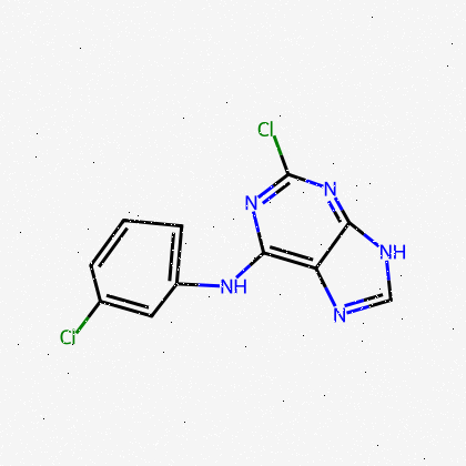 Clc1cccc(Nc2nc(Cl)nc3[nH]cnc23)c1